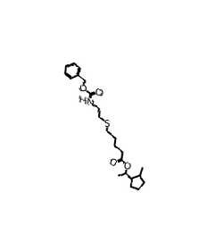 CC1CCCC1C(C)OC(=O)CCCCSCCNC(=O)OCc1ccccc1